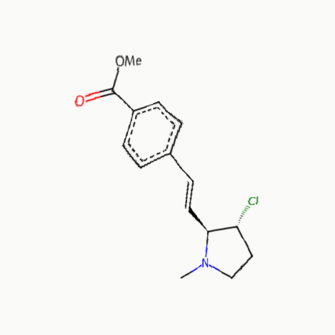 COC(=O)c1ccc(/C=C/[C@H]2[C@H](Cl)CCN2C)cc1